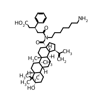 C=C(C)[C@@H]1CC[C@]2(C(=O)N(CCCCCCCN)C(=O)C[C@@H](CC(=O)O)c3ccccc3)CC[C@]3(C)[C@H](CC[C@@H]4[C@@]5(C)CC[C@H](O)C(C)(C)[C@@H]5CC[C@]43C)[C@@H]12